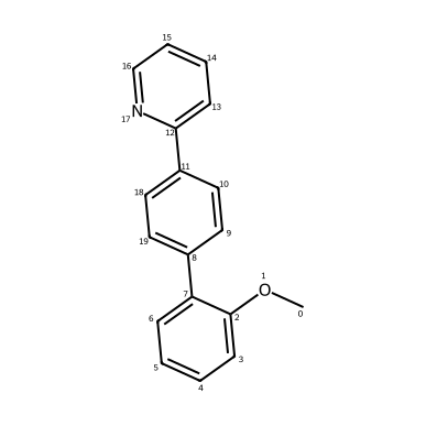 COc1ccccc1-c1ccc(-c2ccccn2)cc1